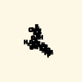 CN1C(C(=O)Nc2ccc(F)c(Cl)c2)=CC(c2ccc(OC(F)(F)F)cc2)=N[S+]1[O-]